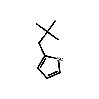 CC(C)(C)Cc1ccc[se]1